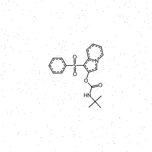 CC(C)(C)NC(=O)Oc1cn2ccccc2c1S(=O)(=O)c1ccccc1